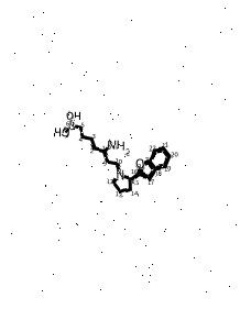 NC(CCCCB(O)O)CCN1CCCC1c1cc2ccccc2o1